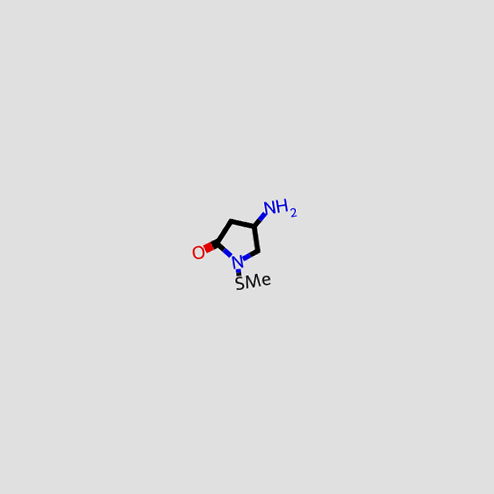 CSN1CC(N)CC1=O